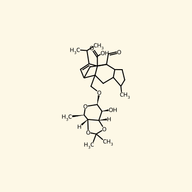 CC(C)C1=CC2CC3(C=O)C4CCC(C)C4CC2(CO[C@@H]2O[C@H](C)[C@H]4OC(C)(C)O[C@H]4[C@@H]2O)C13C(=O)O